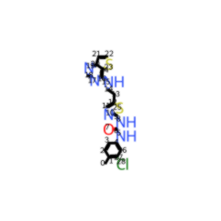 Cc1ccc(NC(=O)Nc2ncc(CCNc3ncnc4ccsc34)s2)cc1Cl